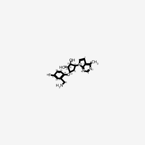 Cc1ncnc2c1ccn2C1CC(Oc2ccc(F)cc2CN)[C@@H](O)[C@H]1O